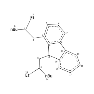 CCCCC(CC)Cc1cccc2c1C(CC(CC)CCCC)c1ccccc1-2